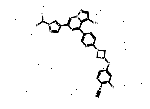 C#Cc1ccc(OC2CN(c3ccc(-c4cc(-c5cnn(C(F)F)c5)cn5ncc(C#N)c45)cn3)C2)cc1F